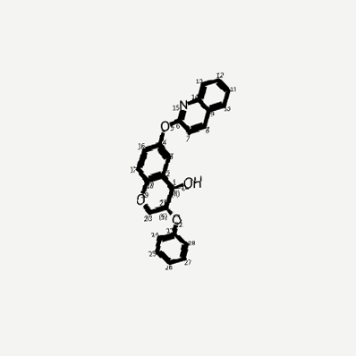 O[C@@H]1c2cc(Oc3ccc4ccccc4n3)ccc2OC[C@@H]1Oc1ccccc1